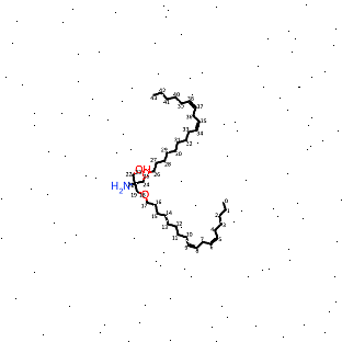 CCCCC/C=C\C/C=C\CCCCCCCCOCC(N)(CO)COCCCCCCCC/C=C\C/C=C\CCCCC